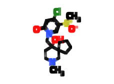 CN1CCC(O)(Cn2cc([S+](C)[O-])c(Cl)cc2=O)C2(CCCC2)C1